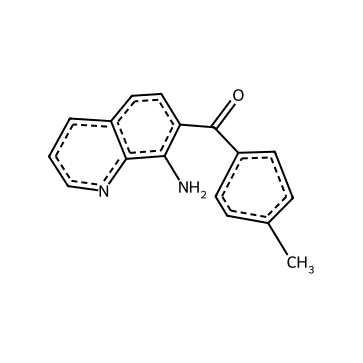 Cc1ccc(C(=O)c2ccc3cccnc3c2N)cc1